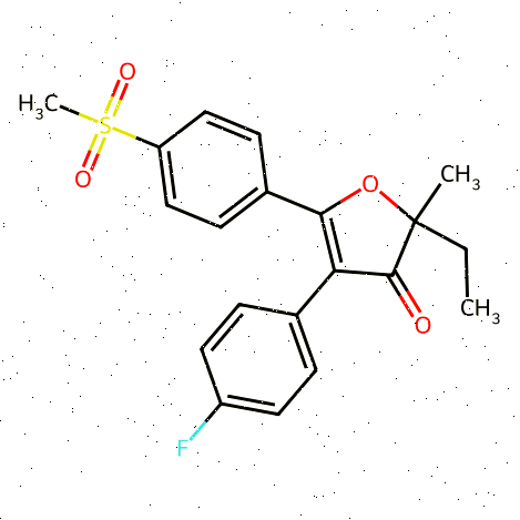 CCC1(C)OC(c2ccc(S(C)(=O)=O)cc2)=C(c2ccc(F)cc2)C1=O